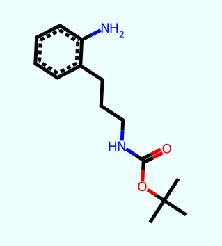 CC(C)(C)OC(=O)NCCCc1ccccc1N